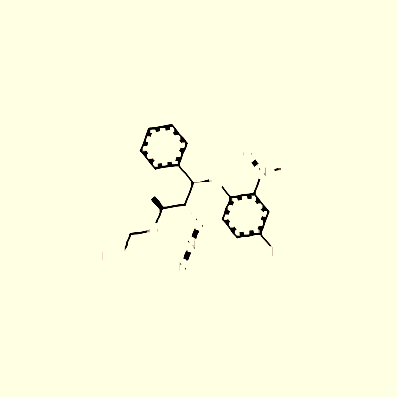 CCOC(=O)[C@@H](N=[N+]=[N-])[C@H](Oc1ccc(F)cc1[N+](=O)[O-])c1ccccc1